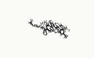 C=NN(/C(O)=C(\C)c1ccc(C#N)cc1C)c1ccc(C(=O)NCCCOCC2CC2)cn1